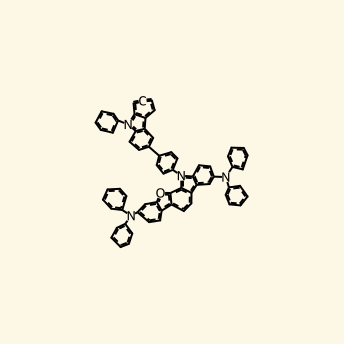 c1ccc(N(c2ccccc2)c2ccc3c(c2)oc2c3ccc3c4cc(N(c5ccccc5)c5ccccc5)ccc4n(-c4ccc(-c5ccc6c(c5)c5ccccc5n6-c5ccccc5)cc4)c32)cc1